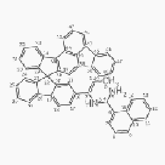 C/C=C(\NC(N)c1cccc2ccccc12)c1ccc2c(c1)C1(c3ccccc3-2)c2ccccc2-c2c1cc1c3c(cccc23)-c2ccccc2-1